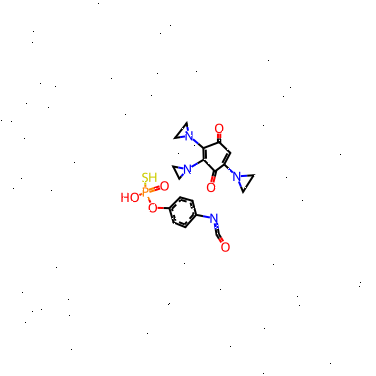 O=C1C=C(N2CC2)C(=O)C(N2CC2)=C1N1CC1.O=C=Nc1ccc(OP(=O)(O)S)cc1